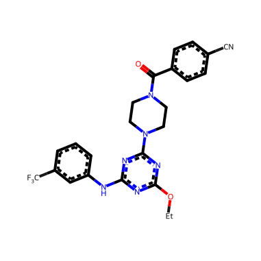 CCOc1nc(Nc2cccc(C(F)(F)F)c2)nc(N2CCN(C(=O)c3ccc(C#N)cc3)CC2)n1